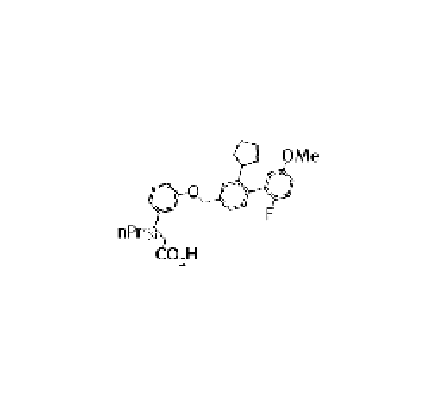 CCC[C@@H](CC(=O)O)c1cccc(OCc2ccc(-c3cc(OC)ccc3F)c(C3CCCC3)c2)c1